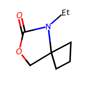 CCN1C(=O)OCC12CCC2